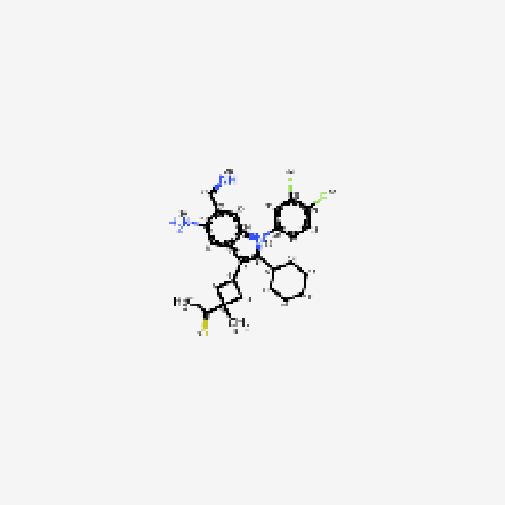 CC(=S)C1(C)CC(c2c(C3CCCCC3)n(-c3ccc(F)c(F)c3)c3cc(C=N)c(N)cc23)C1